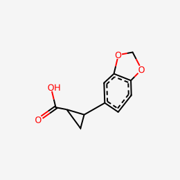 O=C(O)C1CC1c1ccc2c(c1)OCO2